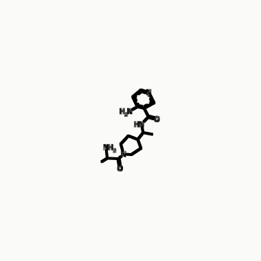 CC(N)C(=O)N1CCC(C(C)NC(=O)c2cnccc2N)CC1